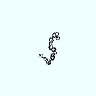 C[Si](C)(C)CCOCn1nccc1-c1ccc(Oc2ccc3nc(CN4CCC(N5CCOC5=O)CC4)ccc3c2)nc1